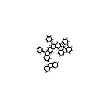 c1ccc(-n2c3ccc(-n4c5ccccc5c5ccccc54)cc3c3cc4c5cc(C6(c7ccccc7)c7ccccc7-c7ccccc76)ccc5n(-c5ccccc5)c4cc32)cc1